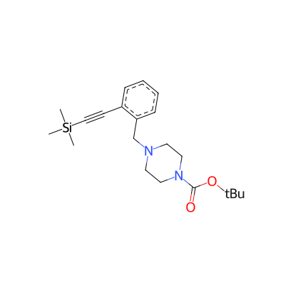 CC(C)(C)OC(=O)N1CCN(Cc2ccccc2C#C[Si](C)(C)C)CC1